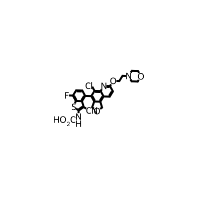 N#Cc1c(NC(=O)O)sc2c(F)ccc(-c3c4c(c5ccc(OCCN6CCOCC6)nc5c3Cl)COC4)c12